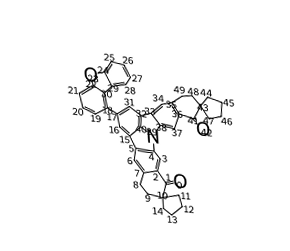 O=C1c2cc3c(cc2CCC12CCCC2)c1cc(-c2cccc4oc5ccccc5c24)cc2c4cc5c(cc4n3c12)C(=O)C1(CCCC1)CC5